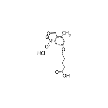 Cc1cc(OCCCCC(=O)O)cc([N+](=O)[O-])c1C=O.Cl